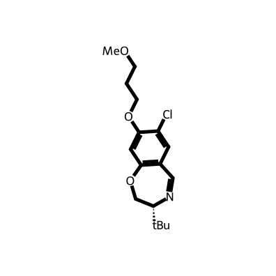 COCCCOc1cc2c(cc1Cl)C=N[C@H](C(C)(C)C)CO2